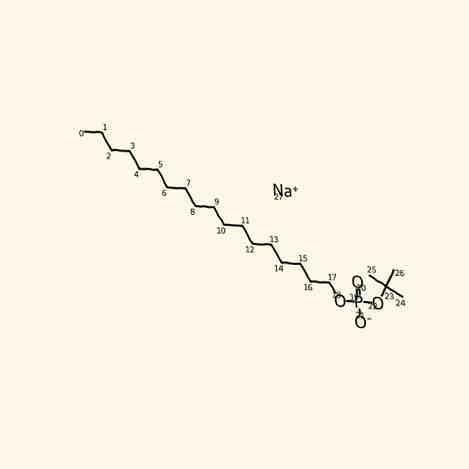 CCCCCCCCCCCCCCCCCCOP(=O)([O-])OC(C)(C)C.[Na+]